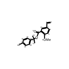 C=Cc1ccc(OC)c(C(=O)OC(C)(C)c2ccc(I)cc2)c1